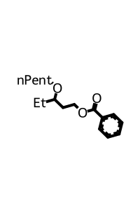 CCCCCOC(CC)CCOC(=O)c1ccccc1